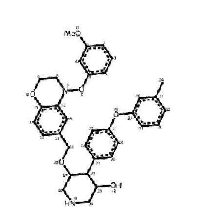 COc1cccc(ON2CCOc3ccc(COC4CNCC(O)C4c4ccc(Oc5cccc(C)c5)cc4)cc32)c1